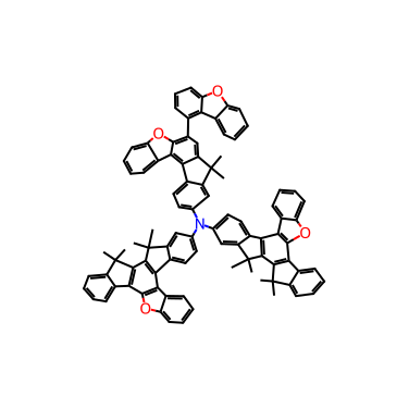 CC1(C)c2cc(N(c3ccc4c(c3)C(C)(C)c3c5c(c6oc7ccccc7c6c3-4)-c3ccccc3C5(C)C)c3ccc4c(c3)C(C)(C)c3c5c(c6oc7ccccc7c6c3-4)-c3ccccc3C5(C)C)ccc2-c2c1cc(-c1cccc3oc4ccccc4c13)c1oc3ccccc3c21